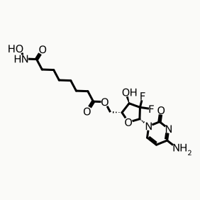 Nc1ccn([C@@H]2O[C@H](COC(=O)CCCCCCC(=O)NO)[C@@H](O)C2(F)F)c(=O)n1